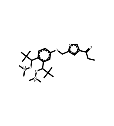 CCC(=O)c1csc(COc2ccc(C(O[SiH](C)C)C(C)(C)C)c(C(O[SiH](C)C)C(C)(C)C)c2)c1